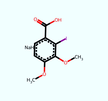 COc1ccc(C(=O)O)c(I)c1OC.[NaH]